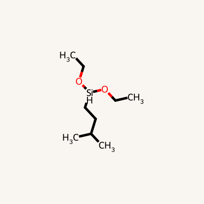 CCO[SiH](CCC(C)C)OCC